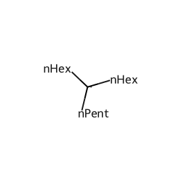 CCCCCC[C](CCCCC)CCCCCC